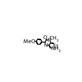 CC/C=c1\c(=C/N)nc(-c2ccc(OC)cc2)c(=O)n1C